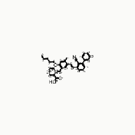 CCCCCOc1cc(C)c(/C=C/c2cccc(-c3ccccc3)c2C#N)cc1CN1CCOCC1C(=O)O